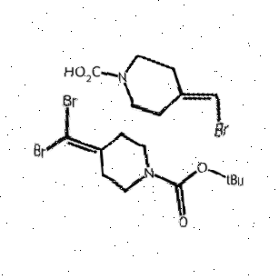 CC(C)(C)OC(=O)N1CCC(=C(Br)Br)CC1.O=C(O)N1CCC(=CBr)CC1